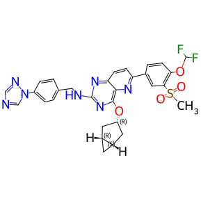 CS(=O)(=O)c1cc(-c2ccc3nc(NCc4ccc(-n5cncn5)cc4)nc(O[C@@H]4C[C@@H]5C[C@@H]5C4)c3n2)ccc1OC(F)F